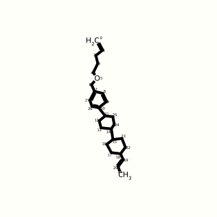 C=CCCCOCc1ccc(C2CCC(C3CCC(C=CC)CC3)CC2)cc1